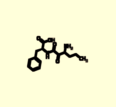 CCCC(N)C(=O)C(=O)N[C@@H](Cc1ccccc1)C(=O)O